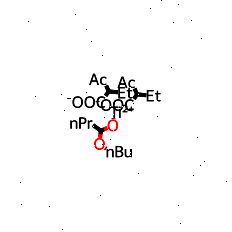 CCC(C(C)=O)C(=O)[O-].CCC(C(C)=O)C(=O)[O-].CCCCOC(CCC)[O][Ti+2]